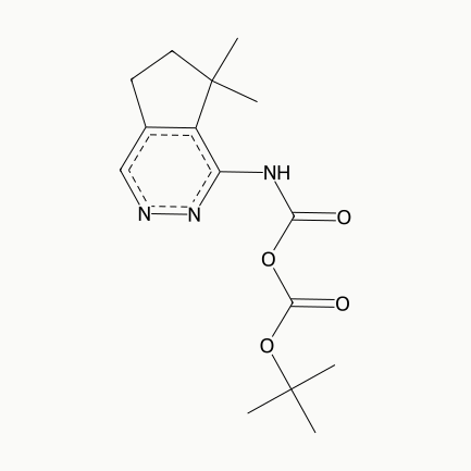 CC(C)(C)OC(=O)OC(=O)Nc1nncc2c1C(C)(C)CC2